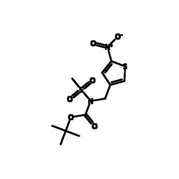 CC(C)(C)OC(=O)N(Cc1csc([N+](=O)[O-])c1)S(C)(=O)=O